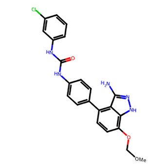 COCOc1ccc(-c2ccc(NC(=O)Nc3cccc(Cl)c3)cc2)c2c(N)n[nH]c12